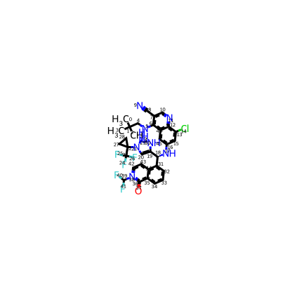 CC(C)(C)CNc1c(C#N)cnc2c(Cl)cc(N[C@H](C3=CN(C4(C(F)(F)F)CC4)NN3)c3cccc4c(=O)n(C(F)F)ccc34)cc12